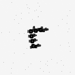 [Ge+4].[Ge+4].[O-2].[O-2].[O-2].[O-2]